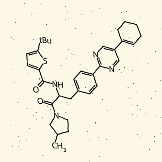 CC1CCN(C(=O)C(Cc2ccc(-c3ncc(C4=CCCCC4)cn3)cc2)NC(=O)c2ccc(C(C)(C)C)s2)C1